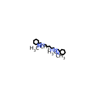 CN(C)C1(CNCCCCCNCC2(N(C)C)CCCCC2)CCCCC1